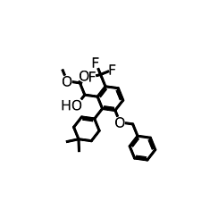 COC(=O)C(O)c1c(C(F)(F)F)ccc(OCc2ccccc2)c1C1=CCC(C)(C)CC1